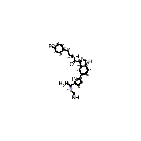 N=C/N=C(/N)c1ccc(-c2ccc3[nH]nc(C(=O)NCCc4ccc(F)cc4)c3c2)[nH]1